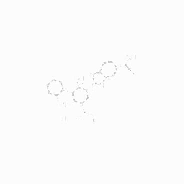 COc1ccccc1-c1cc(C(CC(=O)O)C(=O)O)cc(-c2nc3cc(C(=N)N)ccc3[nH]2)c1O